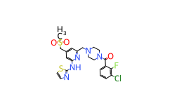 CS(=O)(=O)Cc1cc(CN2CCN(C(=O)c3cccc(Cl)c3F)CC2)nc(Nc2nccs2)c1